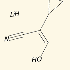 N#C/C(=C\O)C1CC1.[LiH]